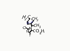 C=C/C=C\C(=C/C)[C@@H](C)n1c(Cl)nc(F)c1C(=O)O